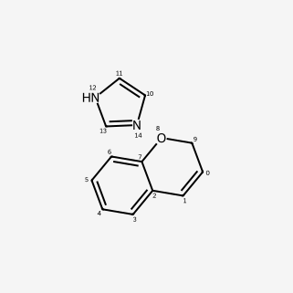 C1=Cc2ccccc2OC1.c1c[nH]cn1